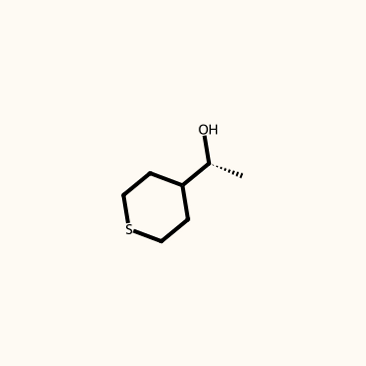 C[C@@H](O)C1CCSCC1